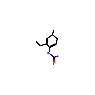 CCC1=CC(C)CC=C1NC(=O)I